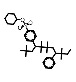 CCC(C)(C)C(CC(C)(C)C(C)(C)C(CC(C)(C)C)c1ccc(S(=O)(=O)OC2CCCCC2)cc1)c1ccccc1